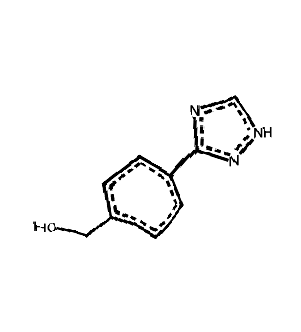 OCc1ccc(-c2nc[nH]n2)cc1